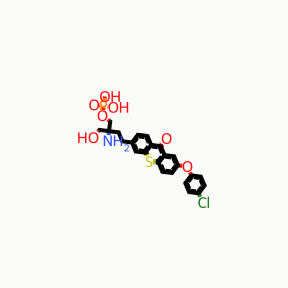 NC(CO)(CCc1ccc2c(=O)c3cc(Oc4ccc(Cl)cc4)ccc3sc2c1)COP(=O)(O)O